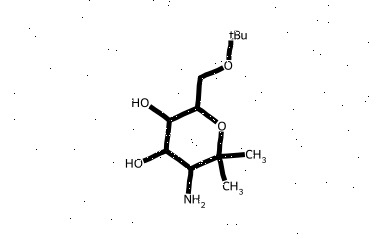 CC(C)(C)OCC1OC(C)(C)C(N)C(O)C1O